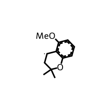 COc1cccc2c1[CH]CC(C)(C)O2